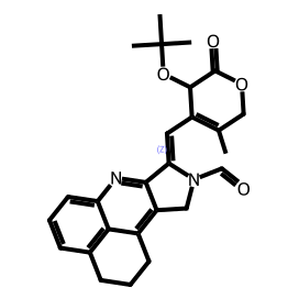 CC1=C(/C=C2/c3nc4cccc5c4c(c3CN2C=O)CCC5)C(OC(C)(C)C)C(=O)OC1